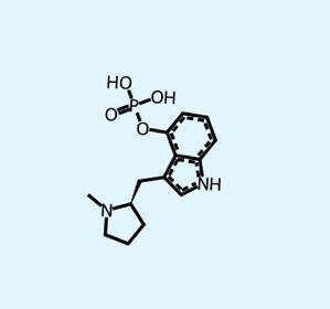 CN1CCC[C@@H]1Cc1c[nH]c2cccc(OP(=O)(O)O)c12